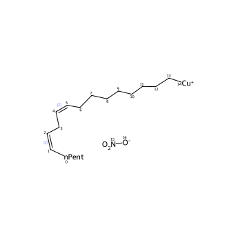 CCCCC/C=C\C/C=C\CCCCCCC[CH2][Cu+].O=[N+]([O-])[O-]